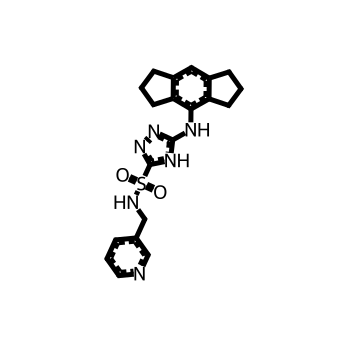 O=S(=O)(NCc1cccnc1)c1nnc(Nc2c3c(cc4c2CCC4)CCC3)[nH]1